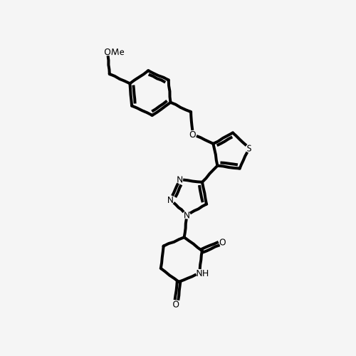 COCc1ccc(COc2cscc2-c2cn(C3CCC(=O)NC3=O)nn2)cc1